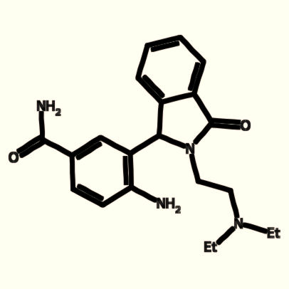 CCN(CC)CCN1C(=O)c2ccccc2C1c1cc(C(N)=O)ccc1N